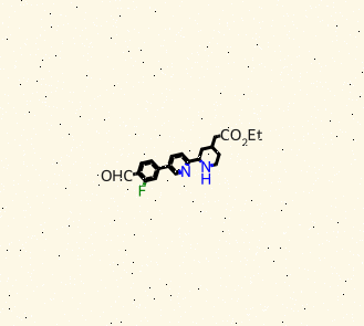 CCOC(=O)CC1CCNC(c2ccc(-c3ccc(C=O)c(F)c3)cn2)C1